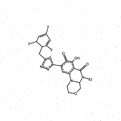 CCN1C(=O)c2c(O)c(=O)c(-c3nnc(CC4C(F)=CC(F)=CC4F)s3)cn2N2CCOCC12